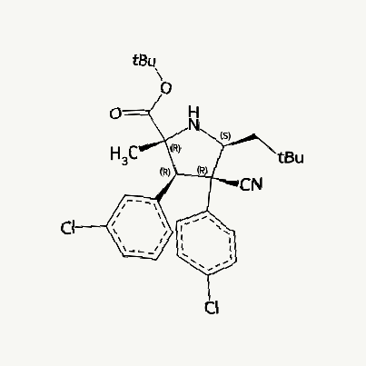 CC(C)(C)C[C@@H]1N[C@@](C)(C(=O)OC(C)(C)C)[C@H](c2cccc(Cl)c2)[C@@]1(C#N)c1ccc(Cl)cc1